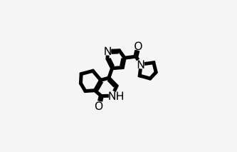 O=C(c1cncc(-c2c[nH]c(=O)c3c2CCCC3)c1)N1CCCC1